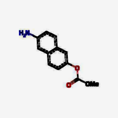 COC(=O)Oc1ccc2cc(N)ccc2c1